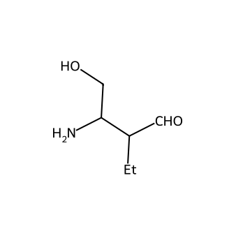 CCC(C=O)C(N)CO